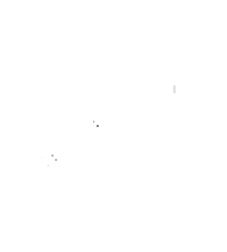 Nc1ccc2cc(C(=O)N[C@H]3CC[C@H](N)CC3)ccc2c1